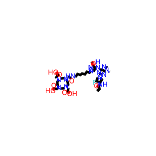 C=CC(=O)N[C@@H]1CN(c2nc(Nc3cn(CCCCCCCNC(=O)CN4CCN(CC(=O)O)CCN(CC(=O)O)CCN(CC(=O)O)CC4)nc3OC)c3ncn(C)c3n2)C[C@H]1F